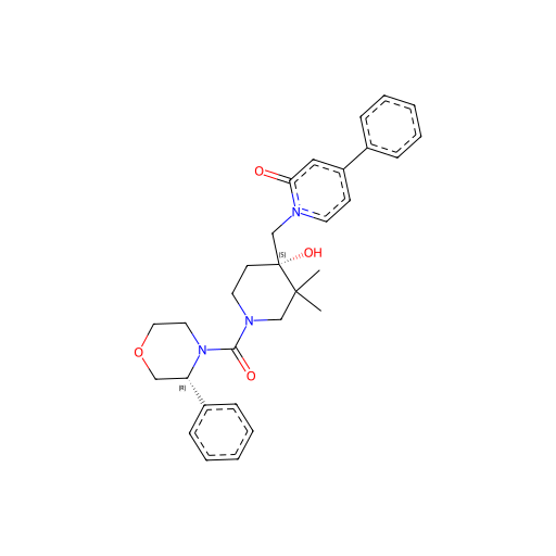 CC1(C)CN(C(=O)N2CCOC[C@H]2c2ccccc2)CC[C@@]1(O)Cn1ccc(-c2ccccc2)cc1=O